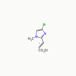 CCOC(=O)/C=C/c1nc(Br)cn1C